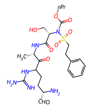 CCCOC(=O)N([C@@H](CO)C(=O)N[C@@H](C)C(=O)C(CC[C@H](N)C=O)NC(=N)N)S(=O)(=O)CCc1ccccc1